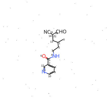 CC(CCNC(=O)c1cccnc1)C[C@@H](C#N)C=O